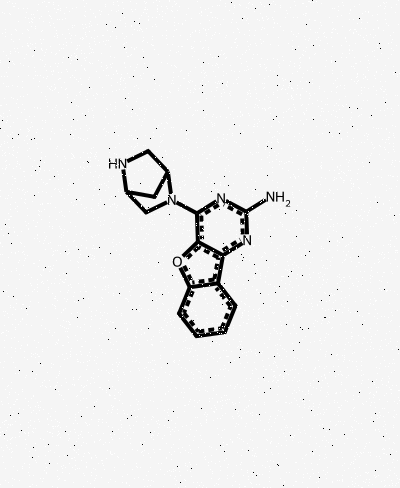 Nc1nc(N2CC3CC2CN3)c2oc3ccccc3c2n1